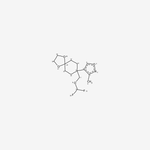 Cc1nocc1C1(COC(F)F)CCC2(CC1)OCCO2